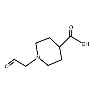 O=CCN1CCC(C(=O)O)CC1